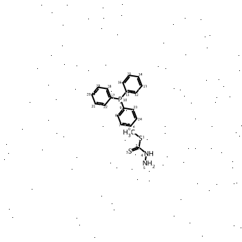 CSC(=S)NN.c1ccc(P(c2ccccc2)c2ccccc2)cc1